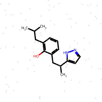 CC(C)Cc1cccc(CC(C)c2ccn[nH]2)c1O